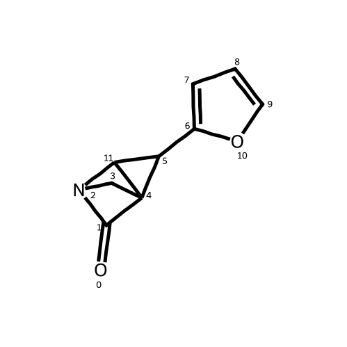 O=C1N2CC13C(c1ccco1)C23